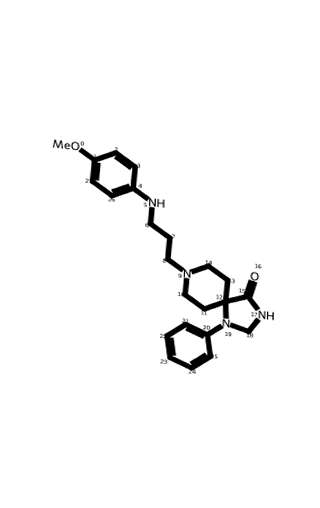 COc1ccc(NCCCN2CCC3(CC2)C(=O)NCN3c2ccccc2)cc1